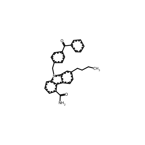 CCCCc1c[c]c2c3c(C(N)=O)cccc3n(Cc3ccc(C(=O)c4ccccc4)cc3)c2c1